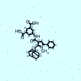 Cn1c(-c2ccccc2)cc(C(=O)Nc2cc(C(=O)O)cc(C(=O)O)c2)c1CC12CC3CC(CC(C3)C1)C2